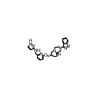 c1cc(CNc2cc[nH]n2)nc(OC[C@@H]2CC[C@H]3CN(c4noc5ccccc45)CCN3C2)c1